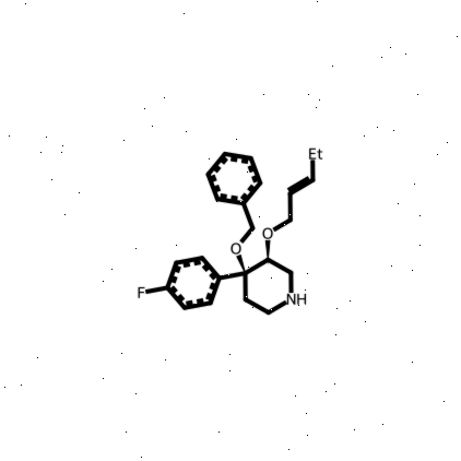 CC/C=C/CO[C@H]1CNCC[C@]1(OCc1ccccc1)c1ccc(F)cc1